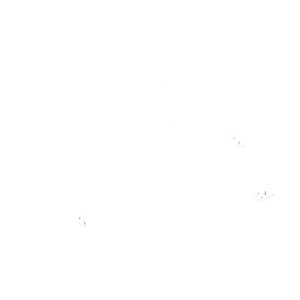 CCOC(=O)c1cccc(Nc2ccc(OCCN3CCOCC3)cc2OC)c1C(=O)O